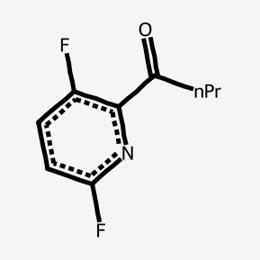 CCCC(=O)c1nc(F)ccc1F